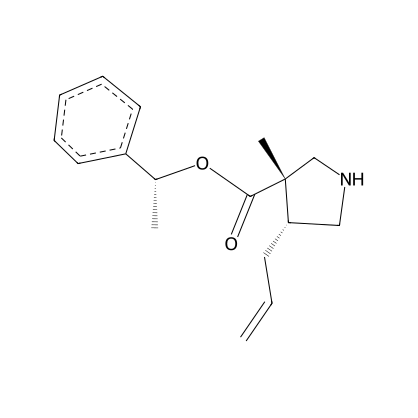 C=CC[C@H]1CNC[C@@]1(C)C(=O)O[C@H](C)c1ccccc1